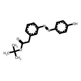 CC(C)(C)OC(=O)Cc1cccc(N=Nc2ccc(O)cc2)c1